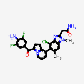 Cc1cc2c(nc(CC(N)=O)n2C)c(Cl)c1-c1cccn2c(C(=O)c3cc(F)c(N)c(F)c3)ccc12